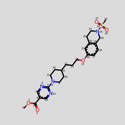 COC(=O)c1cnc(N2CCC(CCCOc3ccc4c(c3)CCN(S(C)(=O)=O)C4)CC2)nc1